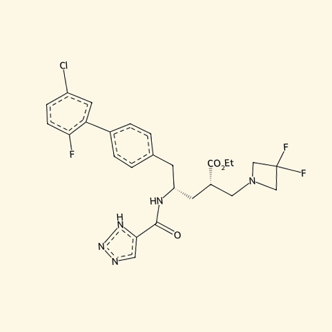 CCOC(=O)[C@@H](C[C@@H](Cc1ccc(-c2cc(Cl)ccc2F)cc1)NC(=O)c1cnn[nH]1)CN1CC(F)(F)C1